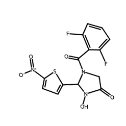 O=C1CN(C(=O)c2c(F)cccc2F)C(c2ccc([N+](=O)[O-])s2)N1O